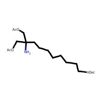 CCCCCCCCCCCCCCCCCCC(N)(COC(C)=O)COC(C)=O